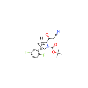 CC(C)(C)OC(=O)N1C[C@@]2(c3cc(F)ccc3F)C[C@H]2C1C(=O)CC#N